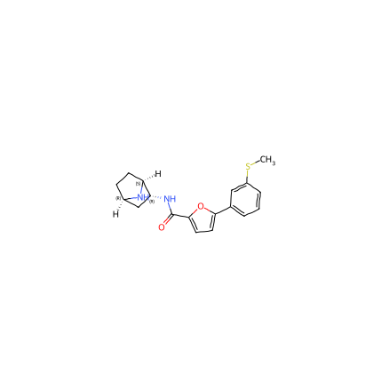 CSc1cccc(-c2ccc(C(=O)N[C@@H]3C[C@H]4CC[C@@H]3N4)o2)c1